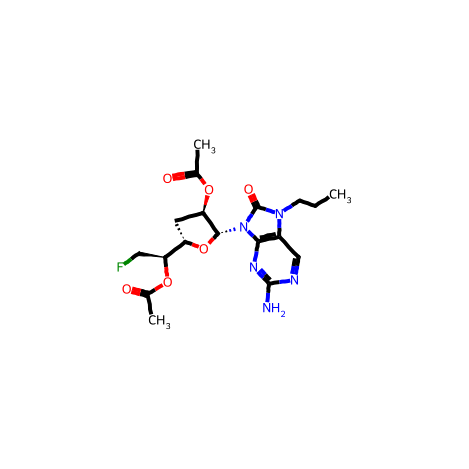 CCCn1c(=O)n([C@@H]2O[C@H]([C@H](CF)OC(C)=O)C[C@H]2OC(C)=O)c2nc(N)ncc21